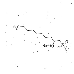 CCCCCCCCC(O)CS(=O)(=O)[O-].[Na+]